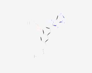 CCCSc1ccc2c(OCC)cc(-c3nc4ncncc4[nH]3)cc2c1